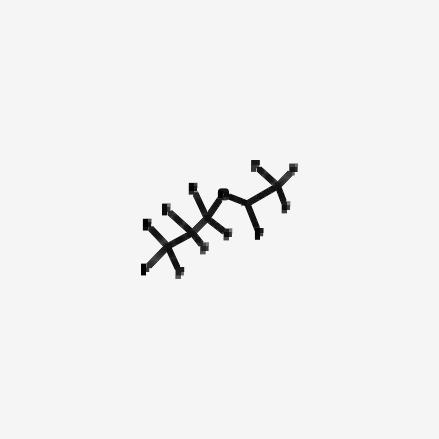 F[C](OC(F)(F)C(F)(F)C(F)(F)F)C(F)(F)F